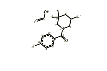 O=CO.[Li][CH]1CN(C(=O)c2ccc(F)cc2)CC(C)(C)C1